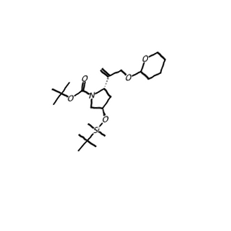 C=C(COC1CCCCO1)[C@@H]1C[C@@H](O[Si](C)(C)C(C)(C)C)CN1C(=O)OC(C)(C)C